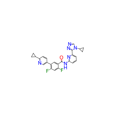 O=C(Nc1cccc(-c2nncn2C2CC2)n1)c1cc(-c2ccc(C3CC3)nc2)c(F)cc1F